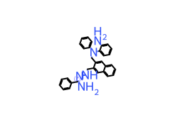 N/C(=N\NCc1cc2ccccc2cc1CN(c1ccccc1)c1ccccc1N)c1ccccc1